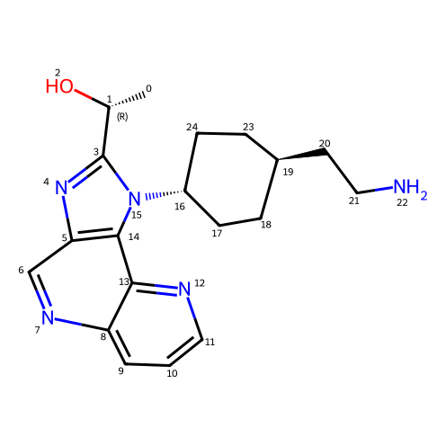 C[C@@H](O)c1nc2cnc3cccnc3c2n1[C@H]1CC[C@H](CCN)CC1